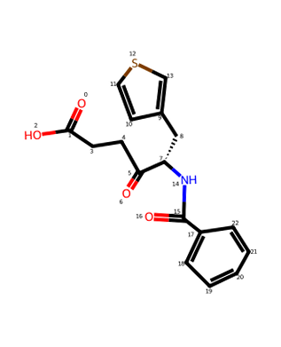 O=C(O)CCC(=O)[C@H](Cc1ccsc1)NC(=O)c1ccccc1